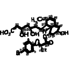 CC[C@H](Oc1ccc(Br)cc1)C(=O)O[C@H]1C[C@H](O)C=C2C=C[C@@H](C)[C@H](CC[C@@H](O)C[C@@H](O)CC(=O)O)[C@H]21